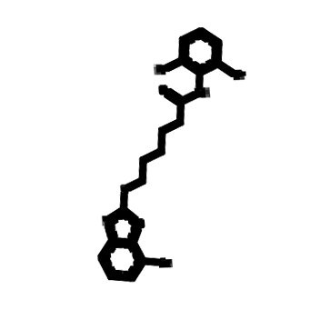 CC(=O)c1cccc2nc(SCCCCCC(=O)Nc3c(C(C)C)cccc3C(C)C)oc12